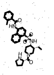 CC[C@@H]1CN(C(=O)[C@@H]2CCCN2)CC[C@@H]1NS(=O)(=O)c1ccc(NC(=O)c2ccccc2C)c2ccccc12